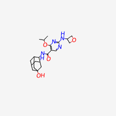 CC(C)Oc1nc(NC2COC2)ncc1C(=O)NC1C2CC3CC1CC(O)(C3)C2